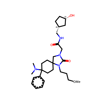 COCCCN1C(=O)N(CC(=O)NC[C@@H]2CC[C@H](O)C2)CC12CCC(c1ccccc1)(N(C)C)CC2